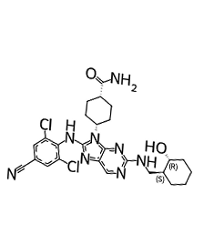 N#Cc1cc(Cl)c(Nc2nc3cnc(NC[C@@H]4CCCC[C@H]4O)nc3n2[C@H]2CC[C@@H](C(N)=O)CC2)c(Cl)c1